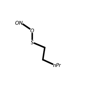 CCCCCSON=O